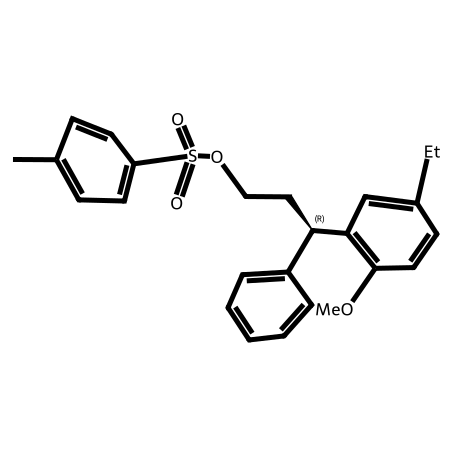 CCc1ccc(OC)c([C@H](CCOS(=O)(=O)c2ccc(C)cc2)c2ccccc2)c1